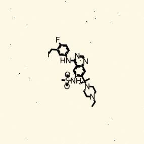 CCN1CCN(C(C)(C)c2cc3ncnc(Nc4ccc(F)c(CI)c4)c3cc2NS(C)(=O)=O)CC1